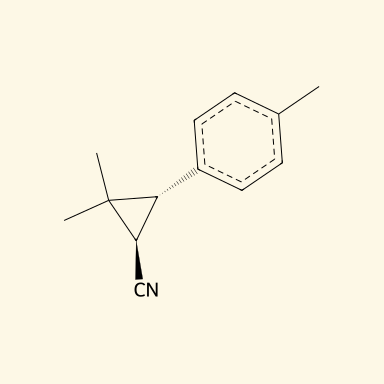 Cc1ccc([C@@H]2[C@@H](C#N)C2(C)C)cc1